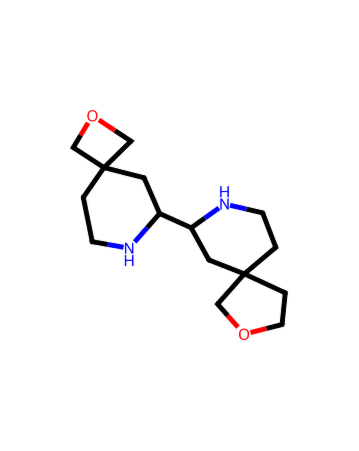 C1CC2(CCOC2)CC(C2CC3(CCN2)COC3)N1